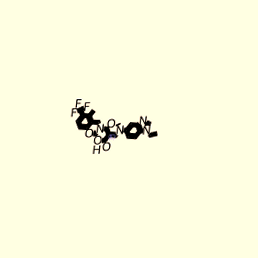 CCn1cnc2cc(N(C)/C=C(/C(=O)O)C(=O)N(C=O)Cc3cccc(C(F)(F)F)c3C)ccc21